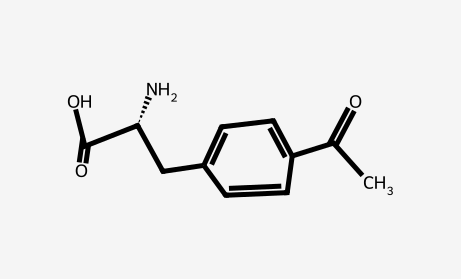 CC(=O)c1ccc(C[C@@H](N)C(=O)O)cc1